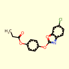 CCC(=O)Oc1ccc(Oc2nc3ccc(Cl)cc3o2)cc1